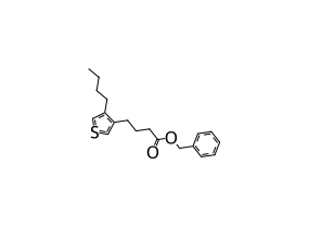 CCCCc1cscc1CCCC(=O)OCc1ccccc1